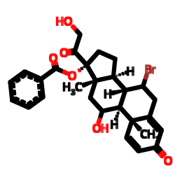 C[C@]12C=CC(=O)C=C1CC(Br)[C@@H]1[C@@H]2C(O)C[C@@]2(C)[C@H]1CC[C@]2(OC(=O)c1ccccc1)C(=O)CO